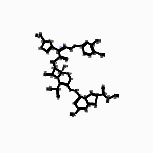 Cc1cc(SCC2=C(C(=O)O)N3C(=O)[C@@H](NC(=O)/C(=N\OCc4ccc(O)c(O)c4)c4csc(N)n4)[C@H]3SC2)n2nc(C(=O)NO)nc2n1